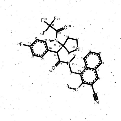 COc1c(C#N)cc2ccccc2c1CN(C)C(=O)C(c1ccc(F)cc1)[C@@]1(N(C)C(=O)C(F)(F)F)CCNC1